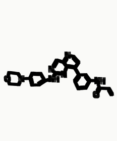 C=CC(=O)Nc1cccc(-c2ccnc3cnc(Nc4ccc(N5CCOCC5)cc4)nc23)c1